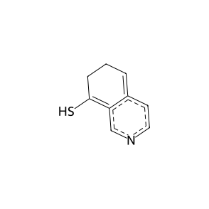 SC1=c2cnccc2=CCC1